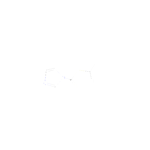 CCOC(=O)C(C)SC(=S)n1ccnc1